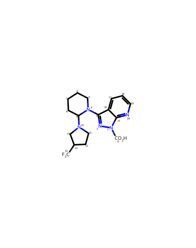 O=C(O)n1nc(N2CCCCC2N2CCC(C(F)(F)F)C2)c2cccnc21